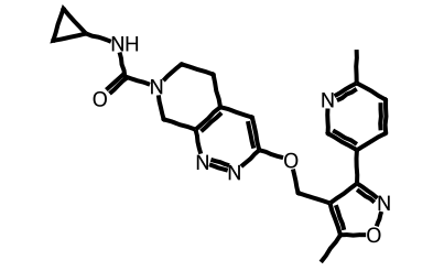 Cc1ccc(-c2noc(C)c2COc2cc3c(nn2)CN(C(=O)NC2CC2)CC3)cn1